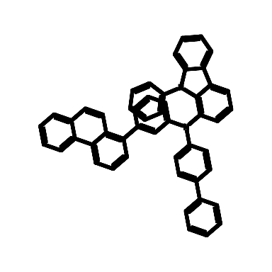 c1ccc(-c2ccc(N(c3cccc(-c4cccc5c4ccc4ccccc45)c3)c3cccc4c5ccccc5n(-c5ccccc5)c34)cc2)cc1